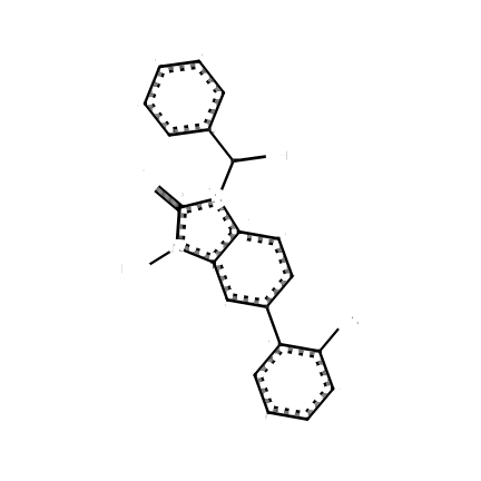 CC(c1ccccc1)n1c(=O)n(C)c2cc(-c3ccccc3C#N)ccc21